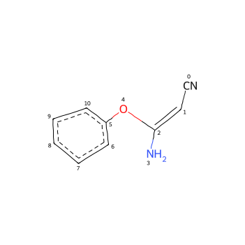 N#C/C=C(/N)Oc1ccccc1